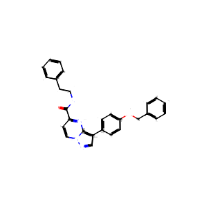 O=C(N[C@H](Cc1ccccc1)C(=O)O)c1ccn2ncc(-c3ccc(OCc4ccccc4)cc3)c2n1